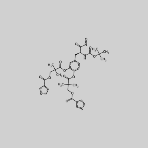 CC(C)(C)OC(=O)N[C@@H](Cc1ccc(OC(=O)C(C)(C)COC(=O)c2ccsc2)c(OC(=O)C(C)(C)COC(=O)c2ccsc2)c1)C(=O)N=O